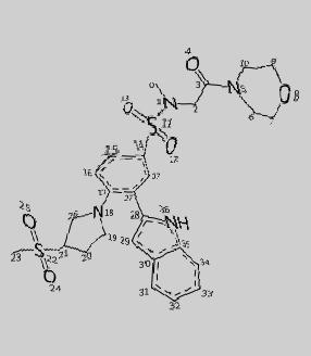 CN(CC(=O)N1CCOCC1)S(=O)(=O)c1ccc(N2CCC(S(C)(=O)=O)C2)c(-c2cc3ccccc3[nH]2)c1